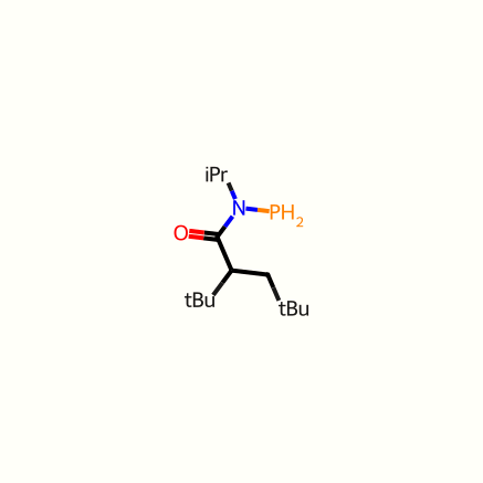 CC(C)N(P)C(=O)C(CC(C)(C)C)C(C)(C)C